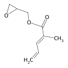 C=CC=C(C)C(=O)OCC1CO1